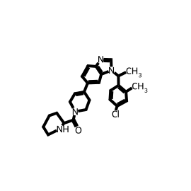 Cc1cc(Cl)ccc1C(C)n1cnc2ccc(C3=CCN(C(=O)C4CCCCN4)CC3)cc21